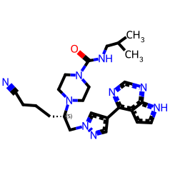 CC(C)CNC(=O)N1CCN([C@@H](CCCC#N)Cn2cc(-c3ncnc4[nH]ccc34)cn2)CC1